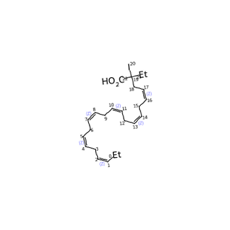 CC/C=C\C/C=C\C/C=C\C/C=C\C/C=C\C/C=C\CC(I)(CC)C(=O)O